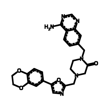 Nc1ncnc2cc(CN3CCN(Cc4ncc(-c5ccc6c(c5)OCCO6)o4)CC3=O)ccc12